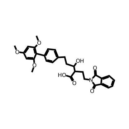 COc1cc(OC)c(-c2ccc(CCC(O)C(CCN3C(=O)c4ccccc4C3=O)C(=O)O)cc2)c(OC)c1